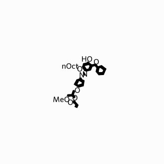 C=CC(=O)OC(COC)COc1ccc(N=Nc2cc(C(=O)c3ccccc3)c(O)cc2OCCCCCCCC)cc1